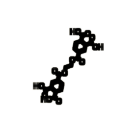 O=C(OCCOC(=O)C1=CC(C(=O)O)C(C(=O)O)C=C1)C1=CC(C(=O)O)C(C(=O)O)C=C1